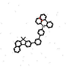 CC1(C)c2cc(-c3cccc(-c4ccc(N(c5ccccc5)c5ccccc5-c5ccccc5)cc4)c3)ccc2-c2c1ccc1ccccc21